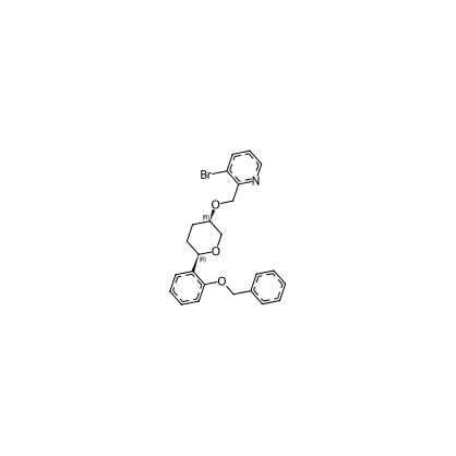 Brc1cccnc1CO[C@@H]1CC[C@H](c2ccccc2OCc2ccccc2)OC1